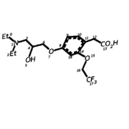 CCN(CC)CC(O)COc1ccc(CC(=O)O)c(OCC(F)(F)F)c1